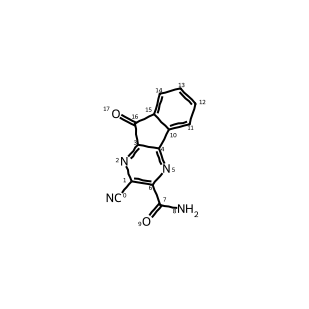 N#Cc1nc2c(nc1C(N)=O)-c1ccccc1C2=O